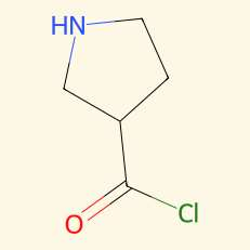 O=C(Cl)C1CCNC1